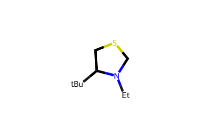 CCN1CSCC1C(C)(C)C